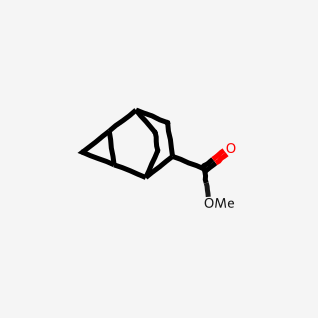 COC(=O)C1CC2CCC1C1CC21